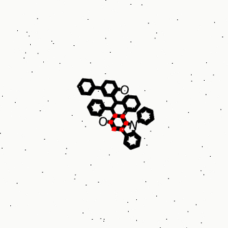 C1=CCCC(C2=CC3=C(CC2)OC2=C(C(C4CC=CC5c6ccccc6N(c6ccccc6)C45)=CCC2)C3C2c3ccccc3OC3C=CC=CC32)=C1